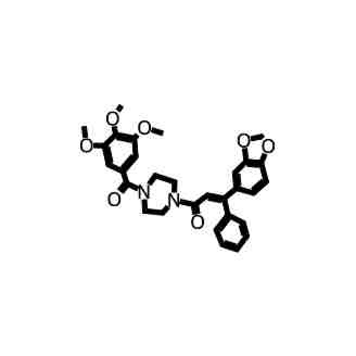 COc1cc(C(=O)N2CCN(C(=O)C=C(c3ccccc3)c3ccc4c(c3)OCO4)CC2)cc(OC)c1OC